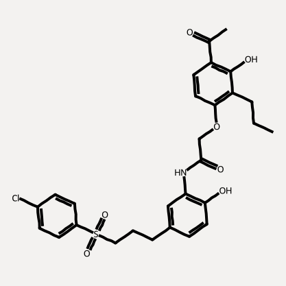 CCCc1c(OCC(=O)Nc2cc(CCCS(=O)(=O)c3ccc(Cl)cc3)ccc2O)ccc(C(C)=O)c1O